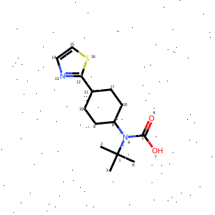 CC(C)(C)N(C(=O)O)C1CCC(c2nccs2)CC1